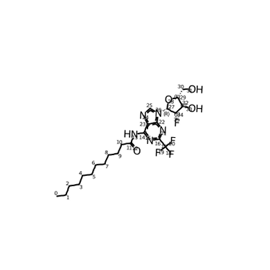 CCCCCCCCCCCC(=O)Nc1nc(C(F)(F)F)nc2c1ncn2[C@@H]1O[C@H](CO)[C@@H](O)[C@@H]1F